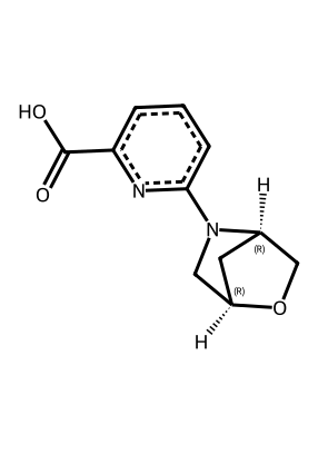 O=C(O)c1cccc(N2C[C@H]3C[C@@H]2CO3)n1